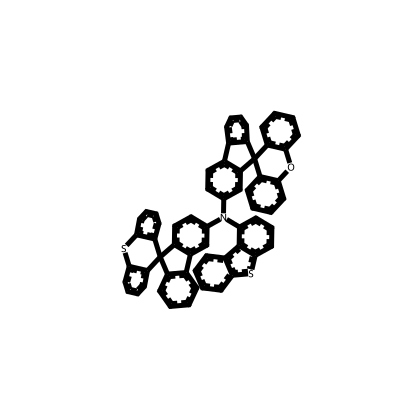 c1ccc2c(c1)Oc1ccccc1C21c2ccccc2-c2ccc(N(c3ccc4c(c3)-c3ccccc3C43c4ccccc4Sc4ccccc43)c3cccc4sc5ccccc5c34)cc21